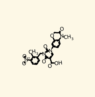 Cc1c(Cn2c(=O)c(C(=O)O)cn(-c3ccc4c(c3)OCC(=O)N4C)c2=O)cccc1[N+](=O)[O-]